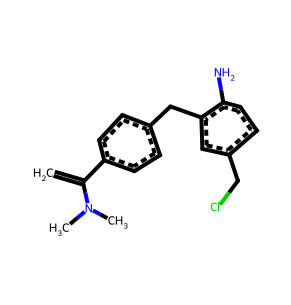 C=C(c1ccc(Cc2cc(CCl)ccc2N)cc1)N(C)C